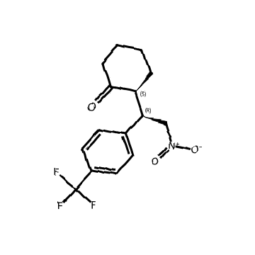 O=C1CCCC[C@H]1[C@@H](C[N+](=O)[O-])c1ccc(C(F)(F)F)cc1